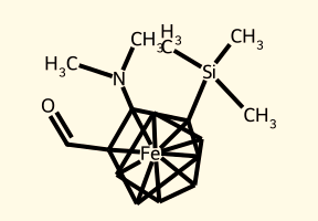 CN(C)[C]12[C]3(C=O)[CH]4[CH]5[C]1([Si](C)(C)C)[Fe]45321678[CH]2[CH]1[CH]6[CH]7[CH]28